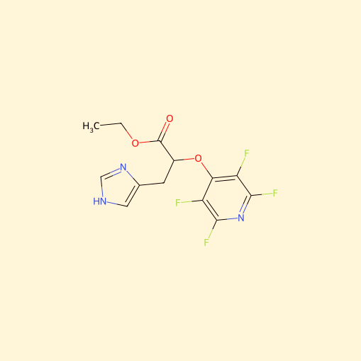 CCOC(=O)C(Cc1c[nH]cn1)Oc1c(F)c(F)nc(F)c1F